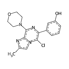 Cc1cn2c(Cl)c(-c3cccc(O)c3)nc(N3CCOCC3)c2n1